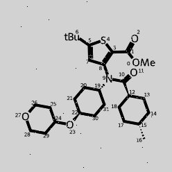 COC(=O)c1sc(C(C)(C)C)cc1N(C(=O)[C@H]1CC[C@H](C)CC1)[C@H]1CC[C@H](OC2CCOCC2)CC1